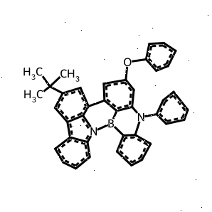 CC(C)(C)c1cc2c3c(c1)c1ccccc1n3B1c3ccccc3N(c3ccccc3)c3cc(Oc4ccccc4)cc-2c31